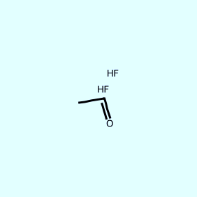 CC=O.F.F